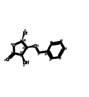 CC[C@H]1OC(=O)[C@H](O)[C@@H]1OCc1ccccc1